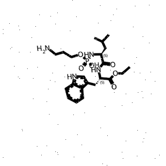 CCOC(=O)[C@H](Cc1c[nH]c2ccccc12)NC(=O)[C@H](CC(C)C)NP(=O)(O)OCCCN